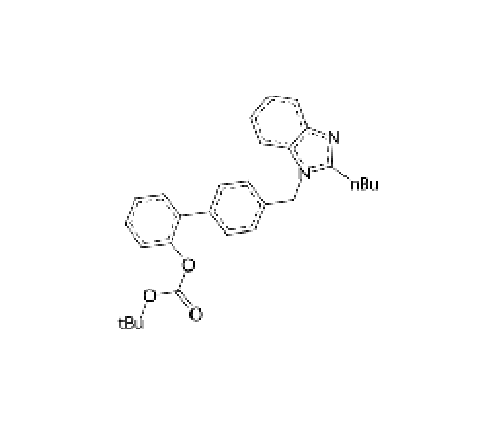 CCCCc1nc2ccccc2n1Cc1ccc(-c2ccccc2OC(=O)OC(C)(C)C)cc1